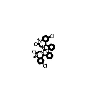 CN1C(=O)CN(C(=O)N2CC(=O)N(C)c3ccc(Cl)cc3C2c2ccccc2)C(c2ccccc2)c2cc(Cl)ccc21